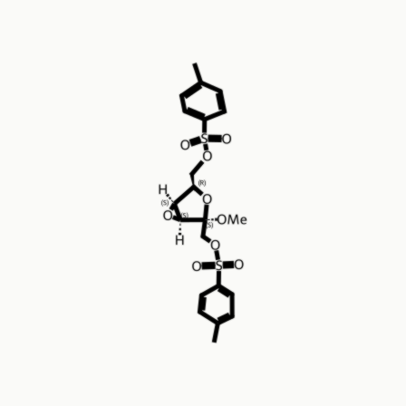 CO[C@@]1(COS(=O)(=O)c2ccc(C)cc2)O[C@H](COS(=O)(=O)c2ccc(C)cc2)[C@@H]2O[C@@H]21